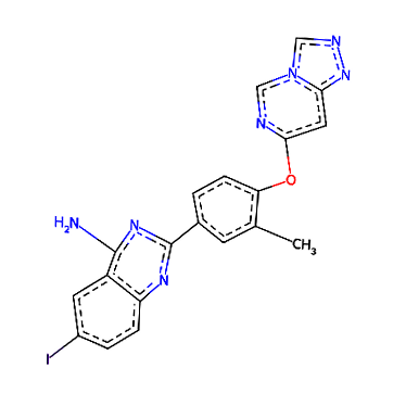 Cc1cc(-c2nc(N)c3cc(I)ccc3n2)ccc1Oc1cc2nncn2cn1